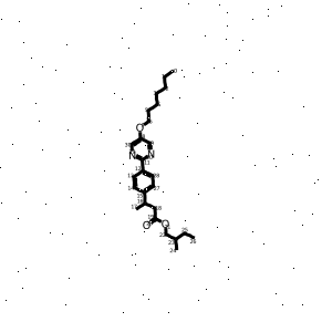 CCCCCCCOc1cnc(-c2ccc(C(C)CC(=O)OCC(C)CC)cc2)nc1